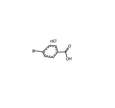 Cl.O=C(O)c1ccc(Br)cc1